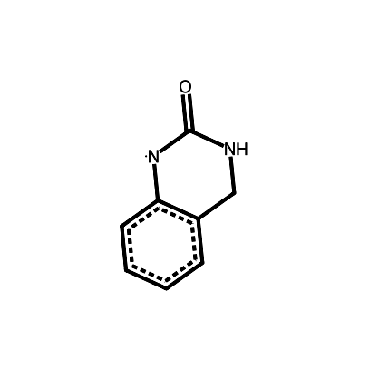 O=C1[N]c2ccccc2CN1